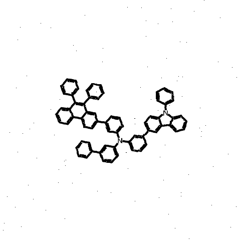 c1ccc(-c2cccc(N(c3cccc(-c4ccc5c(c4)c(-c4ccccc4)c(-c4ccccc4)c4ccccc45)c3)c3cccc(-c4ccc5c(c4)c4ccccc4n5-c4ccccc4)c3)c2)cc1